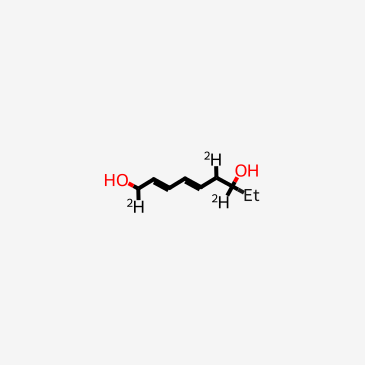 [2H]C(O)C=CC=CC([2H])C([2H])(O)CC